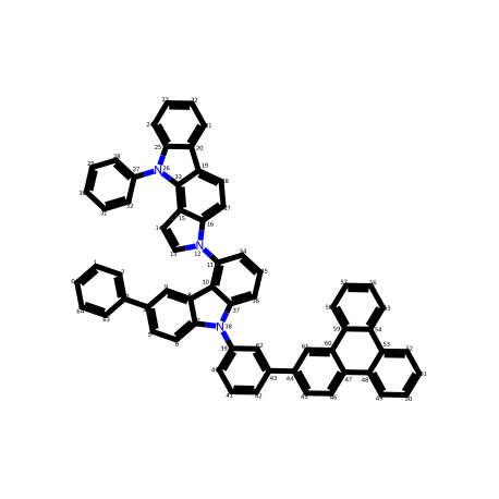 c1ccc(-c2ccc3c(c2)c2c(-n4ccc5c4ccc4c6ccccc6n(-c6ccccc6)c45)cccc2n3-c2cccc(-c3ccc4c5ccccc5c5ccccc5c4c3)c2)cc1